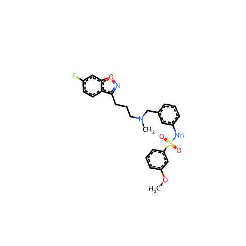 COc1cccc(S(=O)(=O)Nc2cccc(CN(C)CCCc3noc4cc(F)ccc34)c2)c1